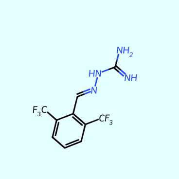 N=C(N)N/N=C/c1c(C(F)(F)F)cccc1C(F)(F)F